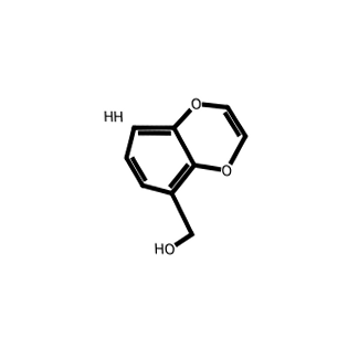 OCc1cccc2c1OC=CO2.[HH]